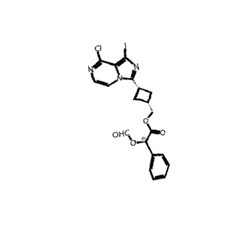 O=CO[C@@H](C(=O)OC[C@H]1C[C@@H](c2nc(I)c3c(Cl)nccn32)C1)c1ccccc1